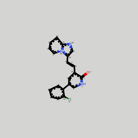 O=c1[nH]cc(-c2ccccc2Cl)cc1/C=C/c1cnc2ccccn12